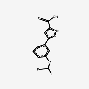 O=C(O)c1cc(-c2cccc(OC(F)F)c2)n[nH]1